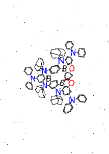 c1ccc(N(c2ccccc2)c2cc3c4c(c2)N(C25CC6CC(CC(C6)C2)C5)c2cc5c(cc2B4c2ccccc2O3)B2c3cc4c(cc3N(C36CC7CC(CC(C7)C3)C6)c3cc(N(c6ccccc6)c6ccccc6)cc(c32)N5C23CC5CC(CC(C5)C2)C3)N(C23CC5CC(CC(C5)C2)C3)c2cc(N(c3ccccc3)c3ccccc3)cc3c2B4c2ccccc2O3)cc1